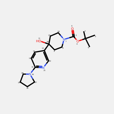 CC(C)(C)OC(=O)N1CCC(O)(c2ccc(N3CCCC3)nc2)CC1